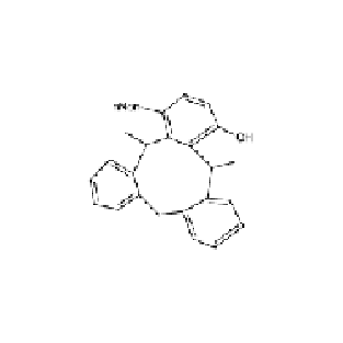 CCCCCCCCCc1ccc(O)c2c1C(C)c1ccccc1Cc1ccccc1C2C